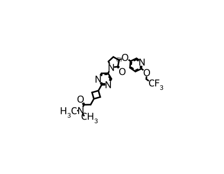 CN(C)C(=O)CC1CC(c2ncc(N3CC[C@@H](Oc4ccc(OCC(F)(F)F)nc4)C3=O)cn2)C1